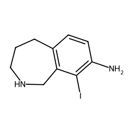 Nc1ccc2c(c1I)CNCCC2